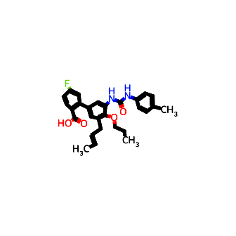 C/C=C/Cc1cc(-c2cc(F)ccc2C(=O)O)cc(NC(=O)Nc2ccc(C)cc2)c1OCCC